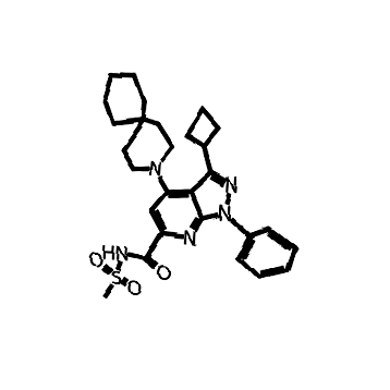 CS(=O)(=O)NC(=O)c1cc(N2CCC3(CCCCC3)CC2)c2c(C3CCC3)nn(-c3ccccc3)c2n1